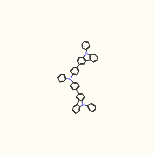 C1=Cc2c(n(-c3ccccc3)c3ccc(-c4ccc(N(c5ccccc5)c5ccc(-c6ccc7c(c6)c6ccccc6n7-c6ccccc6)cc5)cc4)cc23)CC1